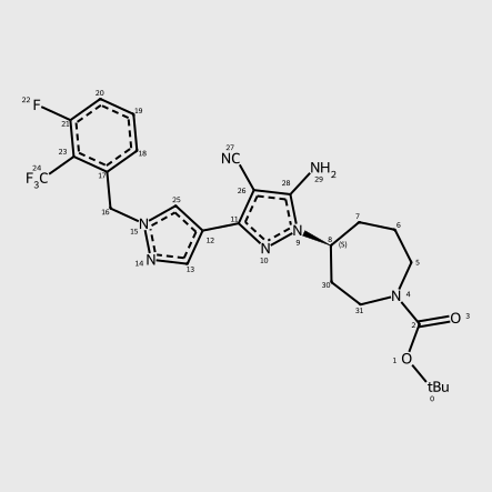 CC(C)(C)OC(=O)N1CCC[C@H](n2nc(-c3cnn(Cc4cccc(F)c4C(F)(F)F)c3)c(C#N)c2N)CC1